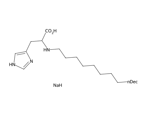 CCCCCCCCCCCCCCCCCCNC(Cc1c[nH]cn1)C(=O)O.[NaH]